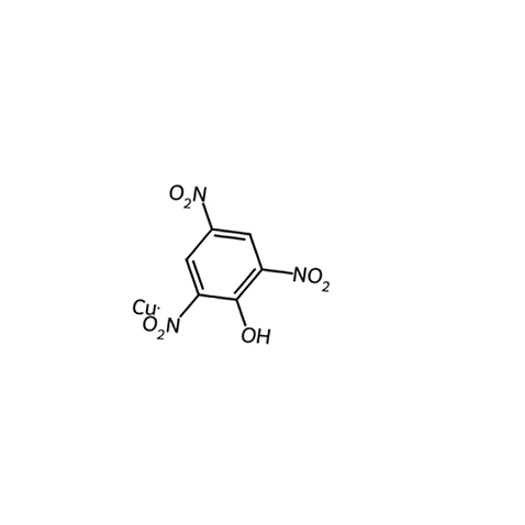 O=[N+]([O-])c1cc([N+](=O)[O-])c(O)c([N+](=O)[O-])c1.[Cu]